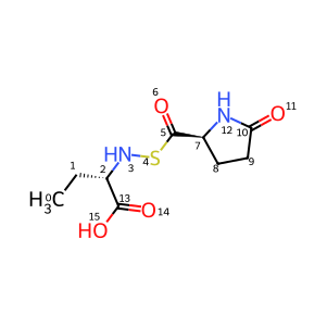 CC[C@H](NSC(=O)[C@@H]1CCC(=O)N1)C(=O)O